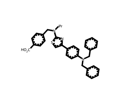 CC(C)N(Cc1ccc(C(=O)O)cc1)c1nc(-c2ccc(N(Cc3ccccc3)Cc3ccccc3)cc2)cs1